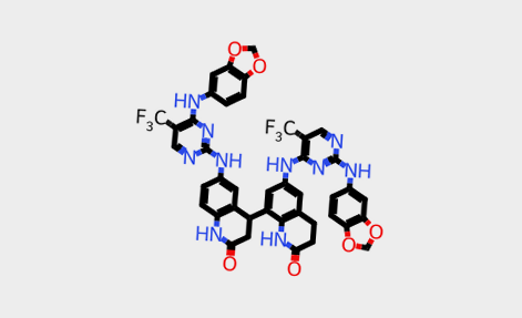 O=C1CC(c2cc(Nc3nc(Nc4ccc5c(c4)OCO5)ncc3C(F)(F)F)cc3c2NC(=O)CC3)c2cc(Nc3ncc(C(F)(F)F)c(Nc4ccc5c(c4)OCO5)n3)ccc2N1